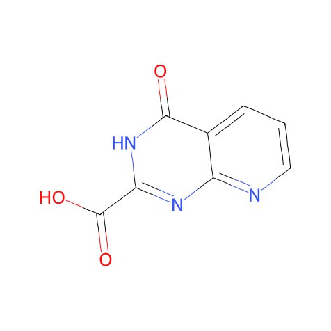 O=C(O)c1nc2ncccc2c(=O)[nH]1